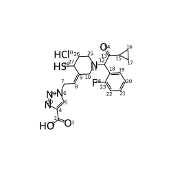 Cl.O=C(O)c1cn(C/C=C2/CN(C(C(=O)C3CC3)c3ccccc3F)CCC2S)nn1